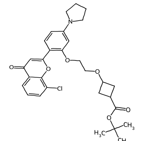 CC(C)(C)OC(=O)C1CC(OCCOc2cc(N3CCCC3)ccc2-c2cc(=O)c3cccc(Cl)c3o2)C1